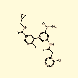 N[S+]([O-])c1cc(NC(=O)Cc2ccccc2Cl)cc(-c2cc(C(=O)NCC3CC3)ccc2F)c1